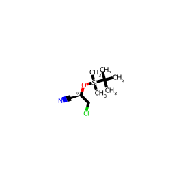 CC(C)(C)[Si](C)(C)O[C@H](C#N)CCl